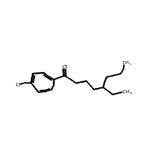 CCCC(CC)CCCC(=O)c1ccc(Cl)cc1